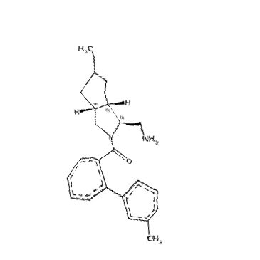 Cc1cccc(-c2ccccc2C(=O)N2C[C@@H]3CC(C)C[C@@H]3[C@H]2CN)c1